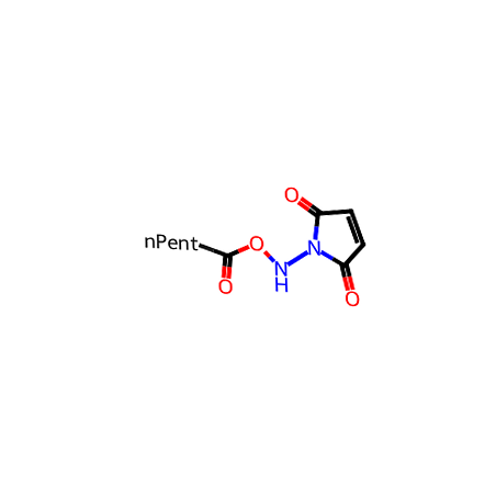 CCCCCC(=O)ONN1C(=O)C=CC1=O